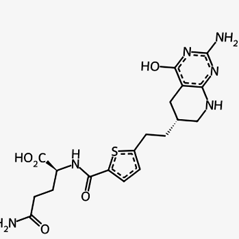 NC(=O)CC[C@H](NC(=O)c1ccc(CC[C@H]2CNc3nc(N)nc(O)c3C2)s1)C(=O)O